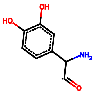 NC([C]=O)c1ccc(O)c(O)c1